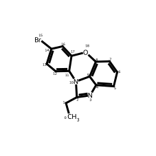 CCc1nc2cccc3c2n1-c1ccc(Br)cc1O3